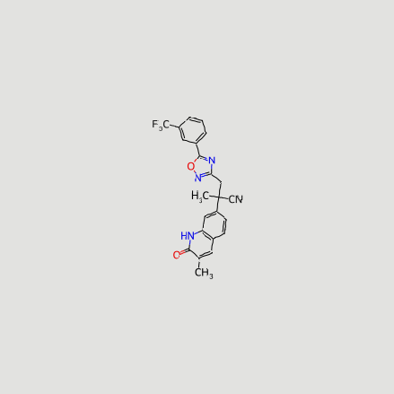 Cc1cc2ccc(C(C)(C#N)Cc3noc(-c4cccc(C(F)(F)F)c4)n3)cc2[nH]c1=O